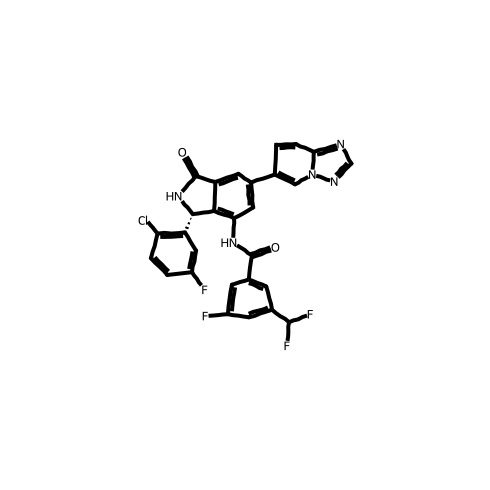 O=C(Nc1cc(-c2ccc3ncnn3c2)cc2c1[C@H](c1cc(F)ccc1Cl)NC2=O)c1cc(F)cc(C(F)F)c1